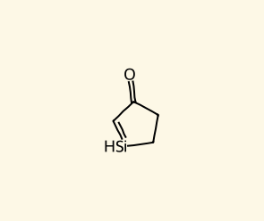 O=C1C=[SiH]CC1